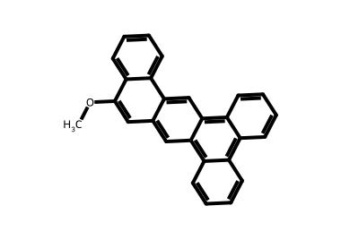 COc1cc2cc3c4ccccc4c4ccccc4c3cc2c2ccccc12